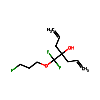 C=CCC(O)(CC=C)C(F)(F)OCCCF